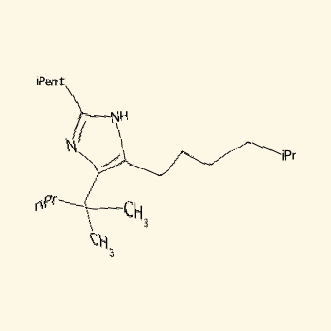 CCCC(C)c1nc(C(C)(C)CCC)c(CCCCC(C)C)[nH]1